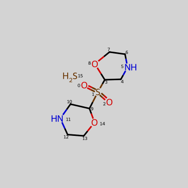 O=S(=O)(C1CNCCO1)C1CNCCO1.S